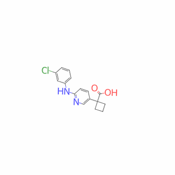 O=C(O)C1(c2ccc(Nc3cccc(Cl)c3)nc2)CCC1